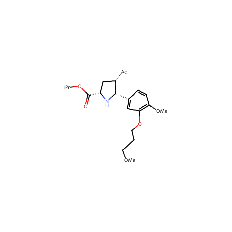 COCCCOc1cc([C@@H]2N[C@H](C(=O)OC(C)C)C[C@@H]2C(C)=O)ccc1OC